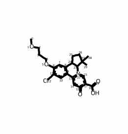 COCCCOc1cc2c(cc1Cl)-c1cc(=O)c(C(=O)O)cn1C1C2CCC1(C)C